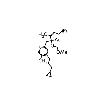 COCO[C@@](Cc1cc(CCCC2CC2)c(C)cn1)(C(C)=O)/C(C)=C\CC(C)C